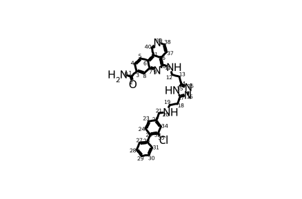 NC(=O)c1ccc2c(c1)nc(NCCc1nnc(CCNCc3ccc(-c4ccccc4)c(Cl)c3)[nH]1)c1ccncc12